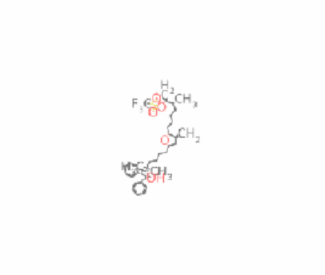 C=C(OS(=O)(=O)C(F)(F)F)[C@H](C)CCCC[C@@H]1OC(CCCCC(C)(C)[Si](O)(c2ccccc2)c2ccccc2)CC1=C